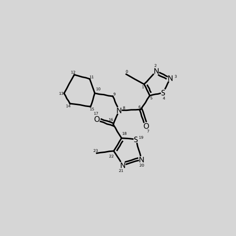 Cc1nnsc1C(=O)N(CC1CCCCC1)C(=O)c1snnc1C